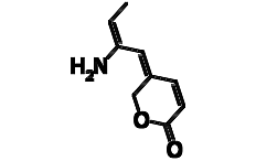 C/C=C(N)\C=C1\C=CC(=O)OC1